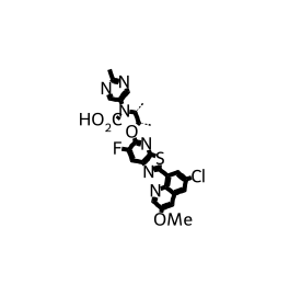 COc1cnc2c(-c3nc4cc(F)c(O[C@@H](C)[C@@H](C)N(C(=O)O)c5cnc(C)nc5)nc4s3)cc(Cl)cc2c1